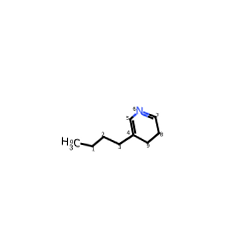 CCCCC1=CN=CCC1